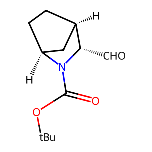 CC(C)(C)OC(=O)N1[C@H]2CC[C@H](C2)[C@@H]1C=O